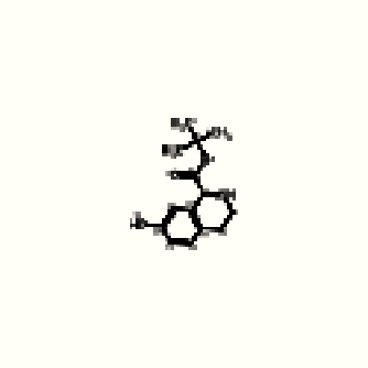 CC(C)(C)OC(=O)[C@H]1NCCc2ccc(O)cc21